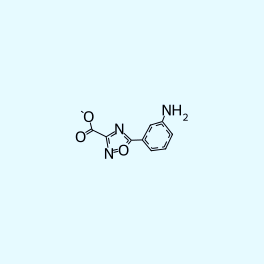 COC(=O)c1noc(-c2cccc(N)c2)n1